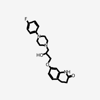 O=C1CCc2ccc(OCC(O)CN3CCN(c4ccc(F)cc4)CC3)cc2N1